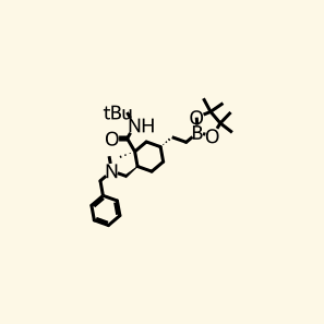 CN(Cc1ccccc1)C[C@@H]1CC[C@@H](CCB2OC(C)(C)C(C)(C)O2)C[C@]1(C)C(=O)NC(C)(C)C